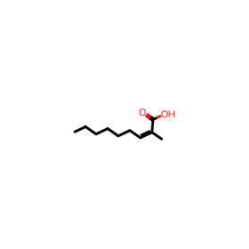 CCCCCCC=C(C)C(=O)O